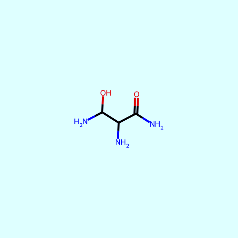 NC(=O)C(N)C(N)O